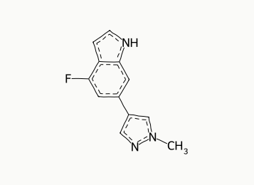 Cn1cc(-c2cc(F)c3cc[nH]c3c2)cn1